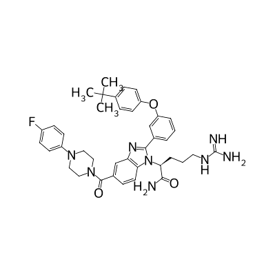 CC(C)(C)c1ccc(Oc2cccc(-c3nc4cc(C(=O)N5CCN(c6ccc(F)cc6)CC5)ccc4n3[C@@H](CCCNC(=N)N)C(N)=O)c2)cc1